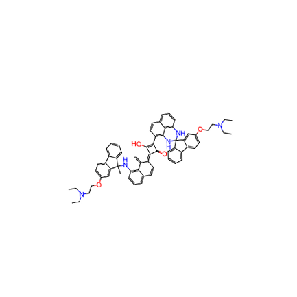 C=c1/c(=C2/C(=O)C(c3ccc4cccc5c4c3NC3(N5)c4ccccc4-c4ccc(OCCN(CC)CC)cc43)=C2O)ccc2cccc(NC3(C)c4ccccc4-c4ccc(OCCN(CC)CC)cc43)c12